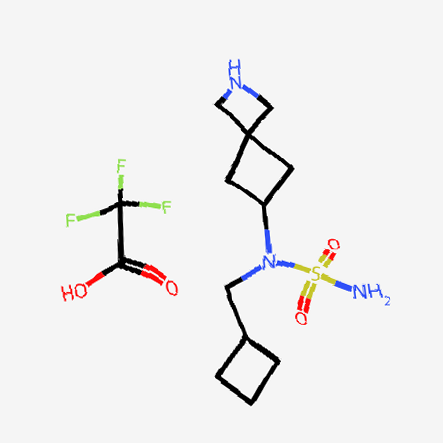 NS(=O)(=O)N(CC1CCC1)C1CC2(CNC2)C1.O=C(O)C(F)(F)F